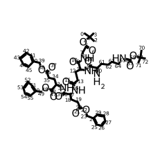 CC(C)(C)OC(=O)CNC(=O)C(CCC(=O)NC(CCC(=O)OCc1ccccc1)C(=O)NC(CCC(=O)OCc1ccccc1)C(=O)OCc1ccccc1)NC(=O)C(N)CCCCNC(=O)OC(C)(C)C